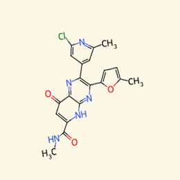 CNC(=O)c1cc(=O)c2nc(-c3cc(C)nc(Cl)c3)c(-c3ccc(C)o3)nc2[nH]1